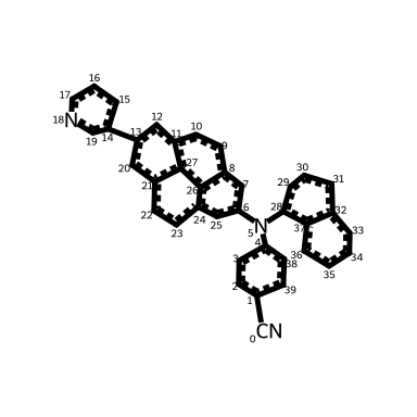 N#Cc1ccc(N(c2cc3ccc4cc(-c5cccnc5)cc5ccc(c2)c3c45)c2cccc3ccccc23)cc1